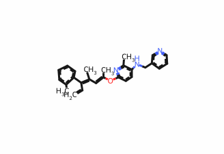 C=C/C(=C(C)\C=C(/C)Oc1ccc(NCc2cccnc2)c(C)n1)c1ccccc1C